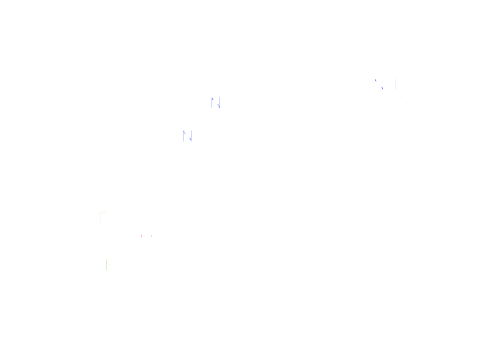 NCCCCCCN1C=CN(c2ccc(OC(F)F)cc2)C1